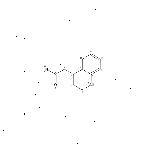 NC(=O)CC1CCNc2ccccc21